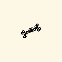 FC(F)(c1ccc(N(c2cc3ccccc3o2)c2cccc3ccccc23)cc1)C(F)(F)C(F)(F)C(F)(F)c1ccc(N(c2cc3ccccc3o2)c2cccc3ccccc23)cc1